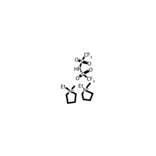 CC[N+]1(C)CCCC1.CC[N+]1(C)CCCC1.O=S(=O)(NS(=O)(=O)C(F)(F)F)C(F)(F)F